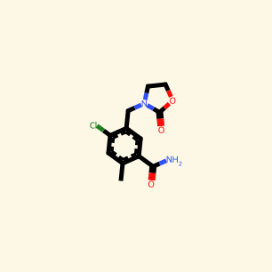 Cc1cc(Cl)c(CN2CCOC2=O)cc1C(N)=O